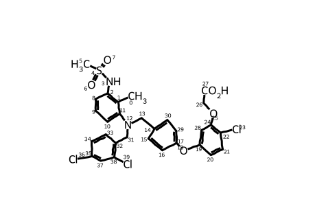 Cc1c(NS(C)(=O)=O)cccc1N(Cc1ccc(Oc2ccc(Cl)c(OCC(=O)O)c2)cc1)Cc1ccc(Cl)cc1Cl